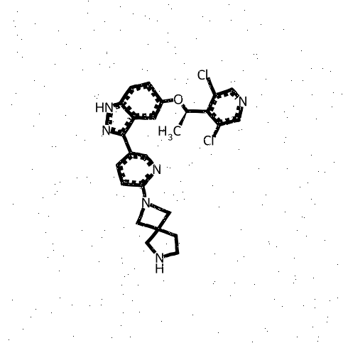 C[C@@H](Oc1ccc2[nH]nc(-c3ccc(N4CC5(CCNC5)C4)nc3)c2c1)c1c(Cl)cncc1Cl